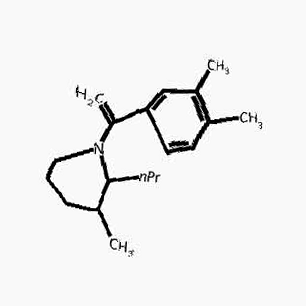 C=C(c1ccc(C)c(C)c1)N1CCCC(C)C1CCC